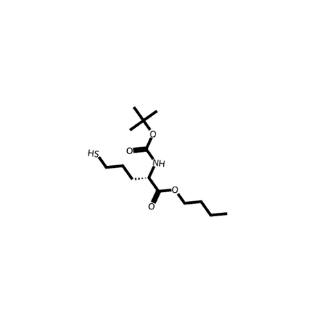 CCCCOC(=O)[C@H](CCCS)NC(=O)OC(C)(C)C